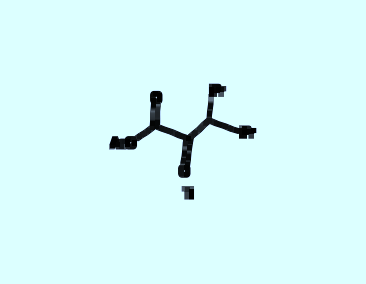 CC(=O)OC(=O)C(=O)C(C(C)C)C(C)C.[Ti]